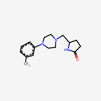 O=C1CCC(CN2CCN(c3cccc(C(F)(F)F)c3)CC2)N1